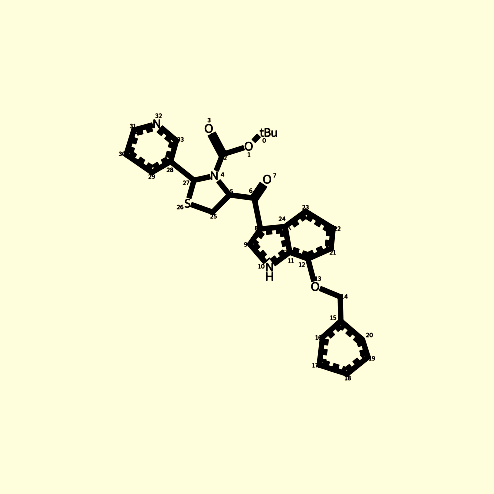 CC(C)(C)OC(=O)N1C(C(=O)c2c[nH]c3c(OCc4ccccc4)cccc23)CSC1c1cccnc1